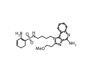 BC1=C(S(=O)(=O)NCCCCn2c(CCOC)nc3c(N)nc4ccccc4c32)CCC=C1